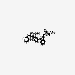 CNC[C@H](C[C@H]1CCCCOC1)NC(=O)N1CCC[C@@H](C(OCCNC(=O)OC)c2ccccc2F)C1